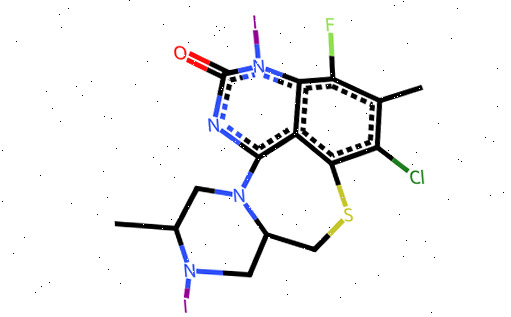 Cc1c(Cl)c2c3c(nc(=O)n(I)c3c1F)N1CC(C)N(I)CC1CS2